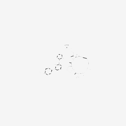 CC(C)Oc1ccc(-c2cc(O[C@@H]3C[C@H]4C(=O)NC5(C(=O)NS(=O)(=O)C6(C)CC6)C[C@H]5/C=C\CC[C@@H](C)C[C@@H](C)[C@H](NC(=O)O)C(=O)N4C3)cc(-c3cscn3)n2)cc1